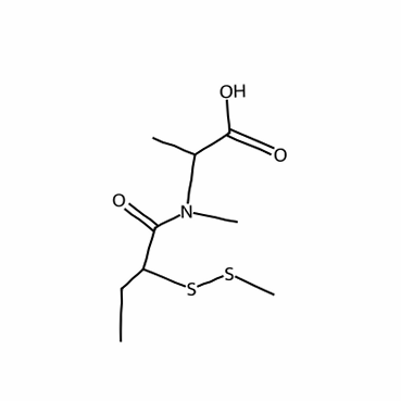 CCC(SSC)C(=O)N(C)C(C)C(=O)O